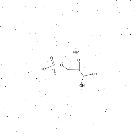 O=C(COP(=O)([O-])O)C(O)O.[Na+]